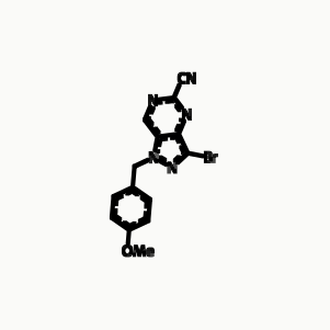 COc1ccc(Cn2nc(Br)c3nc(C#N)ncc32)cc1